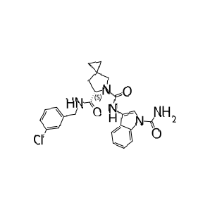 NC(=O)n1cc(NC(=O)N2CC3(CC3)C[C@H]2C(=O)NCc2cccc(Cl)c2)c2ccccc21